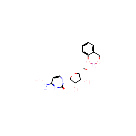 O=c1nc(NO)ccn1[C@@H]1O[C@H](COP2(=O)OCc3ccccc3O2)[C@H](O)[C@@H]1O